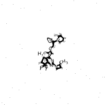 C[C@H]1CCN1c1nc(N2C[C@@H](OCC(=O)N3CCCCC3)[C@@H]2C)c2c(n1)C(F)(F)CC2